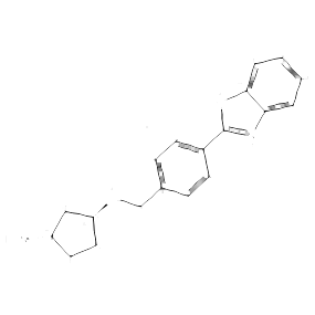 Cl.N[C@H]1CC[C@H](OCc2ccc(-c3nc4ccccc4o3)cc2)C1